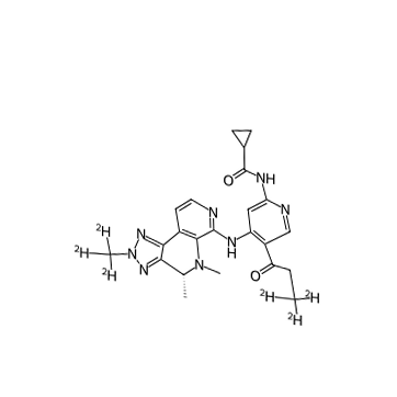 [2H]C([2H])([2H])CC(=O)c1cnc(NC(=O)C2CC2)cc1Nc1nccc2c1N(C)[C@H](C)c1nn(C([2H])([2H])[2H])nc1-2